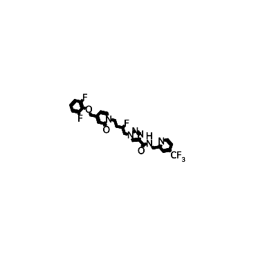 O=C(NCc1cc(C(F)(F)F)ccn1)c1cn(CC(F)CCn2ccc(COc3c(F)cccc3F)cc2=O)nn1